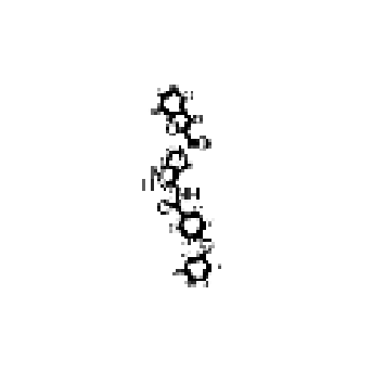 O=C(Nc1[nH]nc2c1CN(C(=O)c1cc3ccccc3o1)C2)c1ccc(Oc2ccccc2)cc1